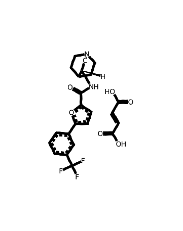 O=C(N[C@H]1CN2CCC1CC2)c1ccc(-c2cccc(C(F)(F)F)c2)o1.O=C(O)C=CC(=O)O